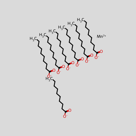 CCCCCCCCCC(=O)[O-].CCCCCCCCCC(=O)[O-].CCCCCCCCCC(=O)[O-].CCCCCCCCCC(=O)[O-].CCCCCCCCCC(=O)[O-].CCCCCCCCCC(=O)[O-].CCCCCCCCCC(=O)[O-].[Mn+7]